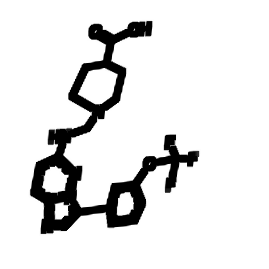 O=C(O)C1CCN(CNc2ccc3ncc(-c4cccc(OC(F)(F)F)c4)n3n2)CC1